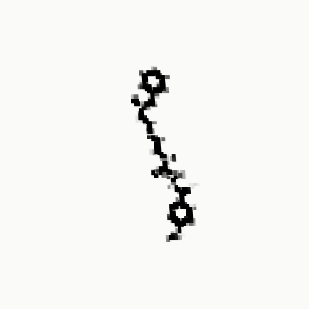 COc1ccc(C(=O)SNC(=O)NCCOCCN(C)Cc2ccccc2)cc1